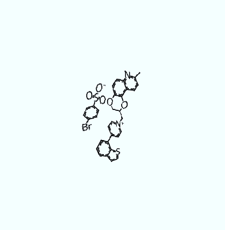 Cc1ccc2c3c(ccc2n1)OC[C@H](C[n+]1ccc(-c2cccc4ccsc24)cc1)O3.O=S(=O)([O-])c1ccc(Br)cc1